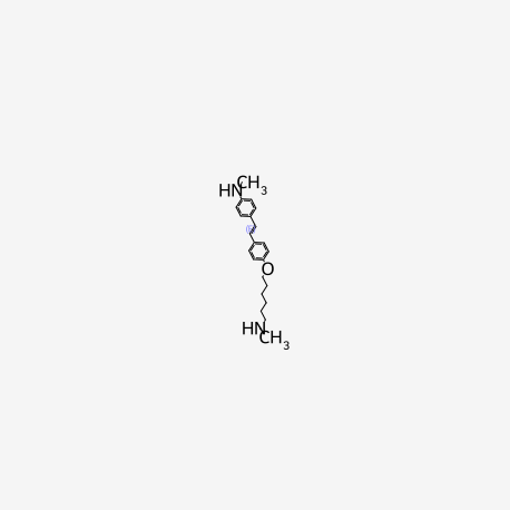 CNCCCCCCOc1ccc(/C=C/c2ccc(NC)cc2)cc1